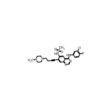 CN1CCN(CCC#Cc2cc3ncnc(Nc4ccc(F)c(Cl)c4)c3cc2NS(C)(=O)=O)CC1